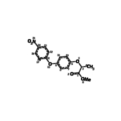 COC(=O)C(C)Oc1ccc(Oc2ccc([N+](=O)[O-])cn2)cc1